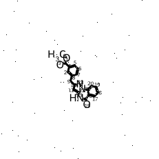 COC(=O)c1cccc(Cc2cc3[nH]c(=O)c4ccccc4n3n2)c1